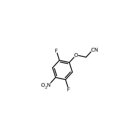 N#CCOc1cc(F)c([N+](=O)[O-])cc1F